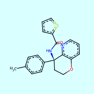 Cc1ccc([C@@]2(NC(=O)c3cccs3)CCOc3cccnc32)cc1